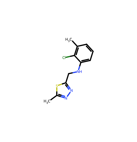 Cc1nnc(CNc2cccc(C)c2Cl)s1